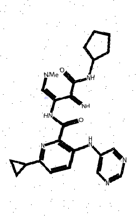 CN/C=C(/NC(=O)c1nc(C2CC2)ccc1Nc1cncnc1)C(=N)C(=O)NC1CCCC1